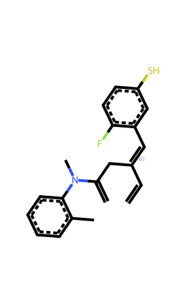 C=C/C(=C/c1cc(S)ccc1F)CC(=C)N(C)c1ccccc1C